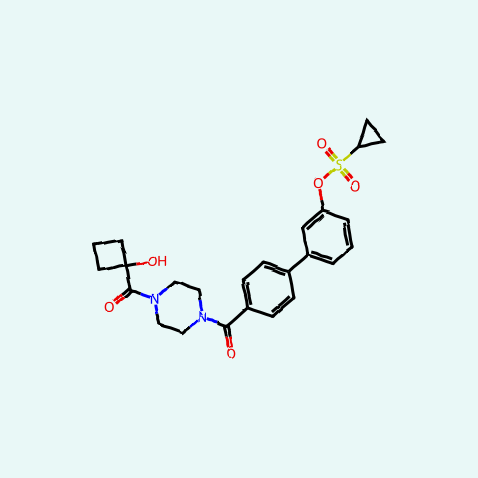 O=C(c1ccc(-c2cccc(OS(=O)(=O)C3CC3)c2)cc1)N1CCN(C(=O)C2(O)CCC2)CC1